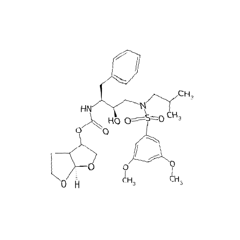 COc1cc(OC)cc(S(=O)(=O)N(CC(C)C)C[C@@H](O)[C@H](Cc2ccccc2)NC(=O)OC2CO[C@H]3OCCC23)c1